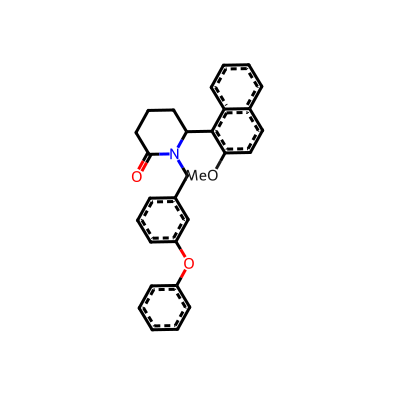 COc1ccc2ccccc2c1C1CCCC(=O)N1Cc1cccc(Oc2ccccc2)c1